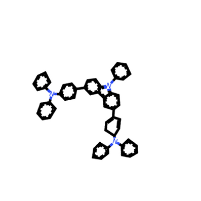 C1=CC(N(c2ccccc2)c2ccccc2)CC=C1c1ccc2c(c1)c1cc(-c3ccc(N(c4ccccc4)c4ccccc4)cc3)ccc1n2-c1ccccc1